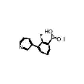 OB(O)c1cccc(-c2cccnc2)c1F